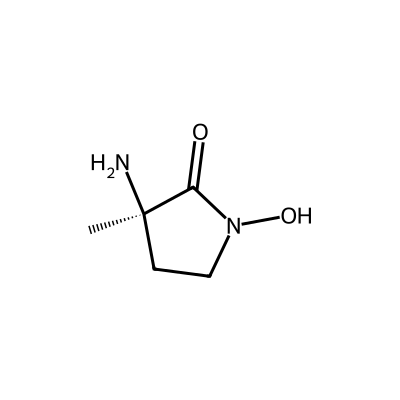 C[C@@]1(N)CCN(O)C1=O